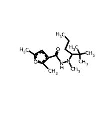 CCCC(N(C)NC(=O)c1cc(C)oc1C)C(C)(C)C